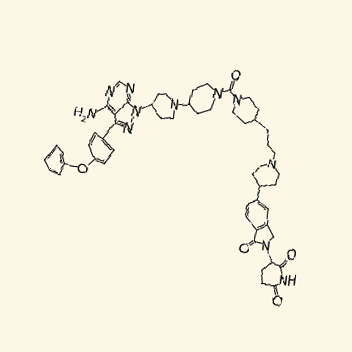 Nc1ncnc2c1c(-c1ccc(Oc3ccccc3)cc1)nn2C1CCN(C2CCN(C(=O)N3CCC(CCCN4CCC(c5ccc6c(c5)CN(C5CCC(=O)NC5=O)C6=O)CC4)CC3)CC2)CC1